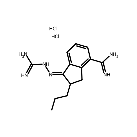 CCCC1Cc2c(C(=N)N)cccc2C1=NNC(=N)N.Cl.Cl